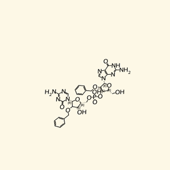 Nc1ncn([C@@H]2O[C@H](COP(=O)(O)O[C@@H]3[C@H](OCc4ccccc4)[C@H](n4cnc5c(=O)[nH]c(N)nc54)O[C@@H]3CO)[C@H](O)C2OCc2ccccc2)c(=O)n1